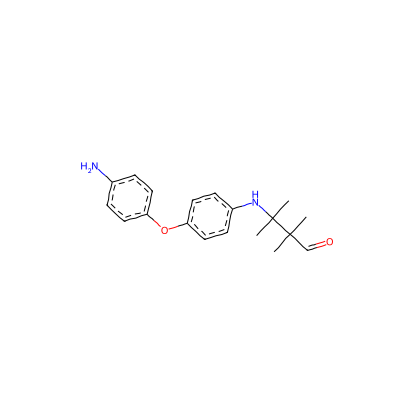 CC(C)(C=O)C(C)(C)Nc1ccc(Oc2ccc(N)cc2)cc1